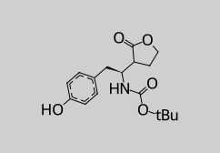 CC(C)(C)OC(=O)N[C@@H](Cc1ccc(O)cc1)C1CCOC1=O